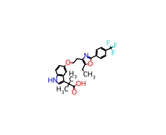 CCc1oc(-c2ccc(C(F)(F)F)cc2)nc1CCOc1ccc2[nH]cc(C(C)(C)C(=O)O)c2c1